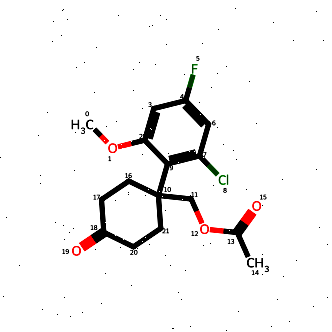 COc1cc(F)cc(Cl)c1C1(COC(C)=O)CCC(=O)CC1